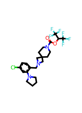 O=C(OC(C(F)(F)F)C(F)(F)F)N1CCC2(CC1)CN(Cc1ccc(Cl)cc1N1CCCC1)C2